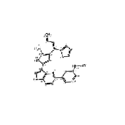 C=C/C=C(/c1cccs1)c1cc(-c2n[nH]c3ccc(-c4cncc(NC(C)C)c4)nc23)[nH]c1C